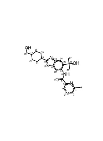 Cc1cncc(C(=O)Nc2cc3sc(C4CCC(CO)CC4)nc3cc2C(C)(C)O)n1